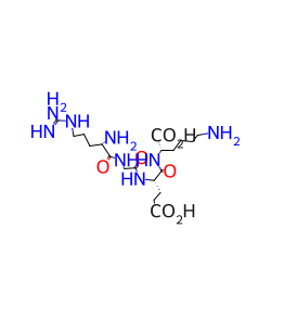 N=C(N)NCCC[C@H](N)C(=O)NCC(=O)N[C@@H](CCC(=O)O)C(=O)N[C@@H](CCCCN)C(=O)O